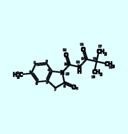 Cc1ccc2c(c1)CC(=O)N2C(=O)NC(=O)C(C)(C)C